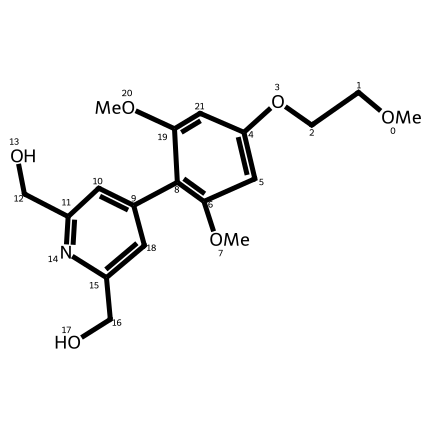 COCCOc1cc(OC)c(-c2cc(CO)nc(CO)c2)c(OC)c1